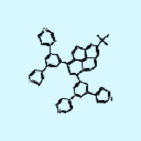 CC(C)(C)c1cc2ccc3c(-c4cc(-c5ccncc5)cc(-c5ccncc5)c4)cc(-c4cc(-c5ccncc5)cc(-c5ccncc5)c4)c4ccc(c1)c2c34